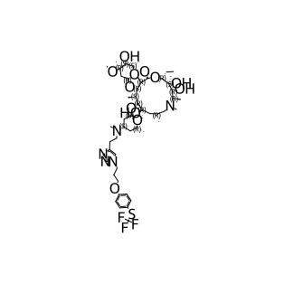 CC[C@H]1OC(=O)[C@H](C)[C@@H](O[C@H]2C[C@@](C)(OC)[C@@H](O)[C@H](C)O2)[C@H](C)[C@@H](O[C@H]2C[C@@H](N(C)CCc3cn(CCCOc4ccc(SC(F)(F)F)cc4)nn3)C[C@@H](C)O2)[C@](C)(O)C[C@@H](C)CN(C)[C@H](C)[C@@H](O)[C@]1(C)O